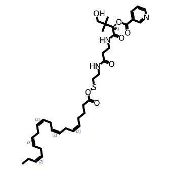 CC/C=C\C/C=C\C/C=C\C/C=C\C/C=C\CCCC(=O)OSCCNC(=O)CCNC(=O)[C@H](OC(=O)c1cccnc1)C(C)(C)CO